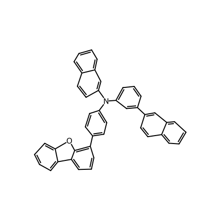 c1cc(-c2ccc3ccccc3c2)cc(N(c2ccc(-c3cccc4c3oc3ccccc34)cc2)c2ccc3ccccc3c2)c1